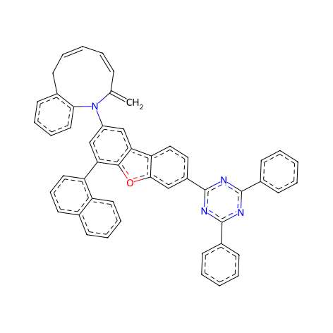 C=C1/C=C\C=C/Cc2ccccc2N1c1cc(-c2cccc3ccccc23)c2oc3cc(-c4nc(-c5ccccc5)nc(-c5ccccc5)n4)ccc3c2c1